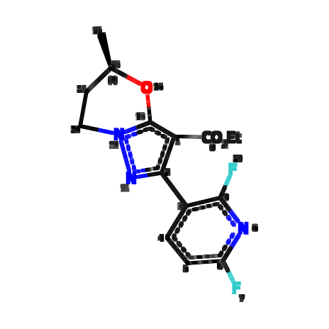 CCOC(=O)c1c(-c2ccc(F)nc2F)nn2c1O[C@H](C)CC2